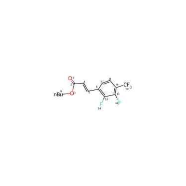 CCCCOC(=O)C=Cc1ccc(C(F)(F)F)c(F)c1F